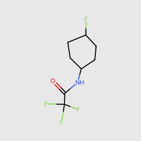 O=C(NC1CCC(F)CC1)C(F)(F)F